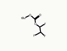 CC(C)(C)OC(=O)OC(F)C(F)F